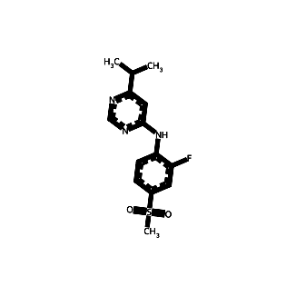 CC(C)c1cc(Nc2ccc(S(C)(=O)=O)cc2F)ncn1